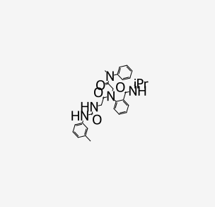 Cc1cccc(NC(=O)NCC(=O)N(CC(=O)N(C)c2ccccc2)c2ccccc2C(=O)NC(C)C)c1